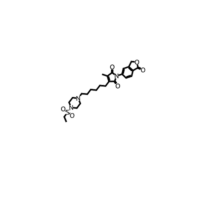 CCS(=O)(=O)N1CCN(CCCCCCC2=C(C)C(=O)N(c3ccc4c(c3)COC4=O)C2=O)CC1